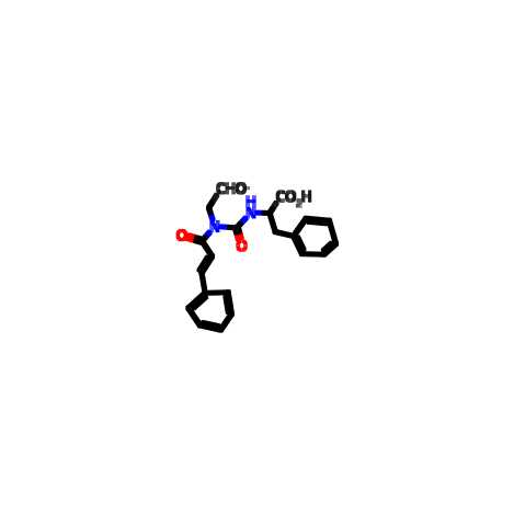 O=[C]CN(C(=O)C=Cc1ccccc1)C(=O)NC(Cc1ccccc1)C(=O)O